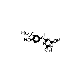 O=C(O)c1cc(Nc2nc(O)nc(O)n2)ccc1O